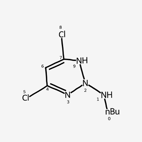 CCCCNN1N=C(Cl)C=C(Cl)N1